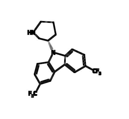 FC(F)(F)c1ccc2c(c1)c1cc(C(F)(F)F)ccc1n2[C@H]1CCCNC1